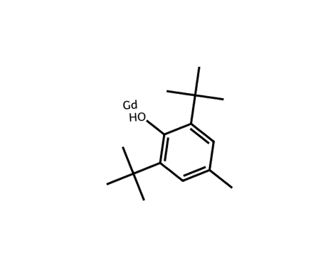 Cc1cc(C(C)(C)C)c(O)c(C(C)(C)C)c1.[Gd]